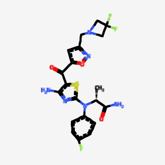 C[C@H](C(N)=O)N(c1ccc(F)cc1)c1nc(N)c(C(=O)c2cc(CN3CC(F)(F)C3)no2)s1